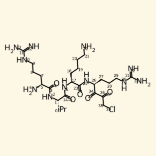 CC(C)[C@H](NC(=O)[C@@H](N)CCCNC(=N)N)C(=O)N[C@@H](CCCCN)C(=O)N[C@@H](CCCNC(=N)N)C(=O)C(=O)CCl